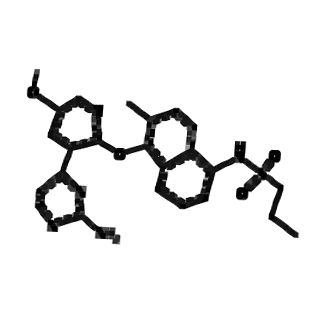 CCCS(=O)(=O)Nc1cccc2c(Oc3ncc(OC)cc3-c3ccnc(N)n3)c(C)ccc12